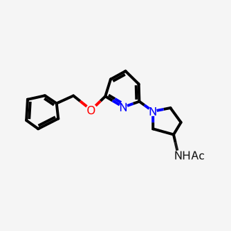 CC(=O)NC1CCN(c2cccc(OCc3ccccc3)n2)C1